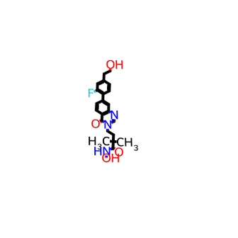 CC(C)(CCn1cnc2cc(-c3ccc(CCO)cc3F)ccc2c1=O)C(=O)NO